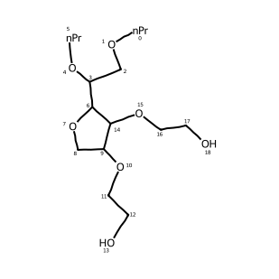 CCCOCC(OCCC)C1OCC(OCCO)C1OCCO